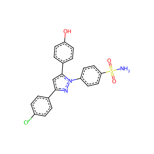 NS(=O)(=O)c1ccc(-n2nc(-c3ccc(Cl)cc3)cc2-c2ccc(O)cc2)cc1